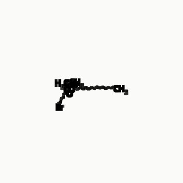 C=C(C)C(OC(=O)CCCCCBr)OC(=O)CCCCCCCCCCCCCCC